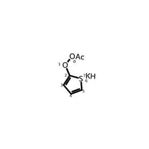 CC(=O)OOc1cccs1.[KH]